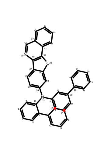 C1=CCCC(c2ccccc2N(c2cccc(-c3ccccc3)c2)c2ccc3c(c2)oc2c4ccccc4cnc32)=C1